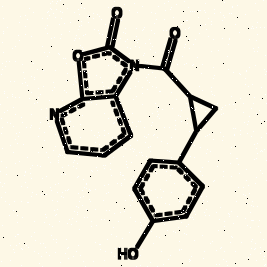 O=C(C1CC1c1ccc(O)cc1)n1c(=O)oc2ncccc21